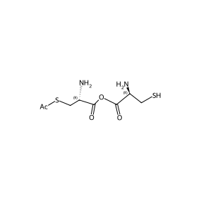 CC(=O)SC[C@H](N)C(=O)OC(=O)[C@@H](N)CS